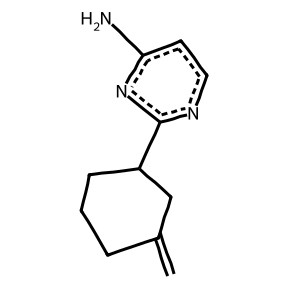 C=C1CCCC(c2nccc(N)n2)C1